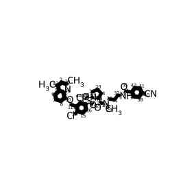 Cc1cc(C)c2cccc(OCc3c(Cl)ccc(S(=O)(=O)N4CCC[C@H]4C(=O)N(C)CCCNC(=O)c4ccc(C#N)cc4)c3Cl)c2n1